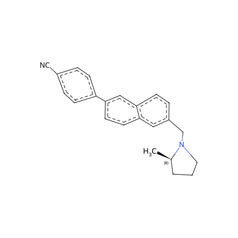 C[C@@H]1CCCN1Cc1ccc2cc(-c3ccc(C#N)cc3)ccc2c1